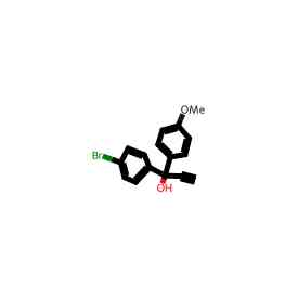 C#CC(O)(c1ccc(Br)cc1)c1ccc(OC)cc1